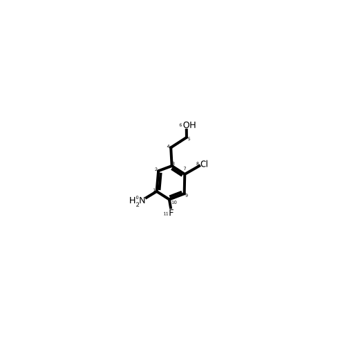 Nc1cc(CCO)c(Cl)cc1F